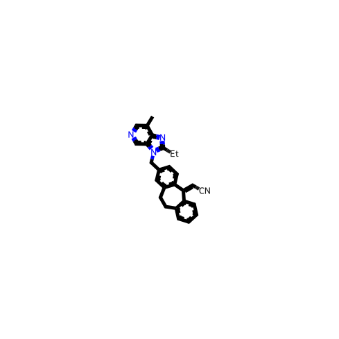 CCc1nc2c(C)cncc2n1Cc1ccc2c(c1)CCc1ccccc1/C2=C\C#N